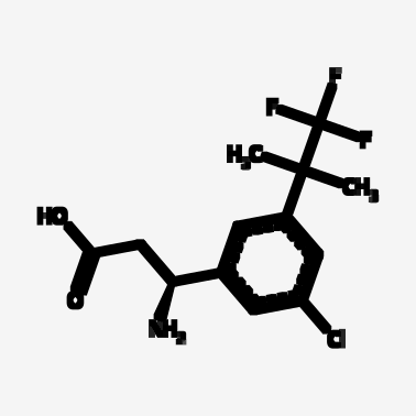 CC(C)(c1cc(Cl)cc([C@@H](N)CC(=O)O)c1)C(F)(F)F